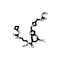 CCCN(CCCNC(=O)OC1CCC1)C(=O)C1=Cc2sc(CN3CC(CNC(=O)OC(C)(C)C)C3)cc2N=C(N)C1